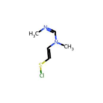 C/N=C\N(C)/C=C/SCl